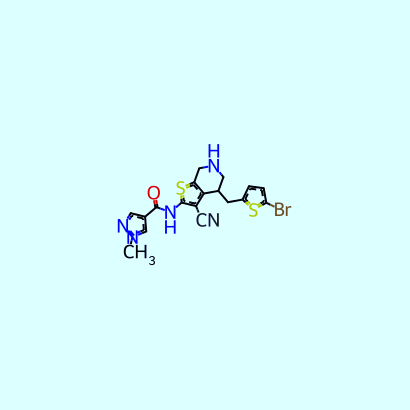 Cn1cc(C(=O)Nc2sc3c(c2C#N)C(Cc2ccc(Br)s2)CNC3)cn1